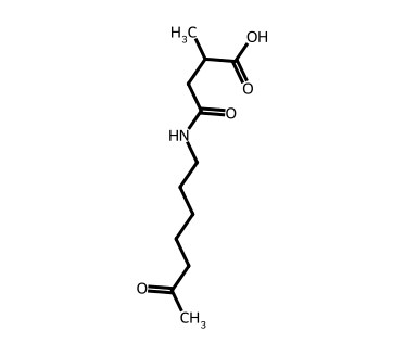 CC(=O)CCCCCNC(=O)CC(C)C(=O)O